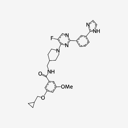 COc1cc(OCC2CC2)cc(C(=O)NCC2CCN(c3nc(-c4cccc(-c5ncc[nH]5)c4)ncc3F)CC2)c1